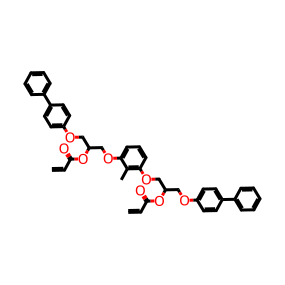 C=CC(=O)OC(COc1ccc(-c2ccccc2)cc1)COc1cccc(OCC(COc2ccc(-c3ccccc3)cc2)OC(=O)C=C)c1C